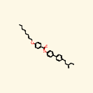 CCCCCCCCOc1ccc(C(=O)Oc2ccc(-c3ccc(CCC(C)CC)cc3)cc2)cc1